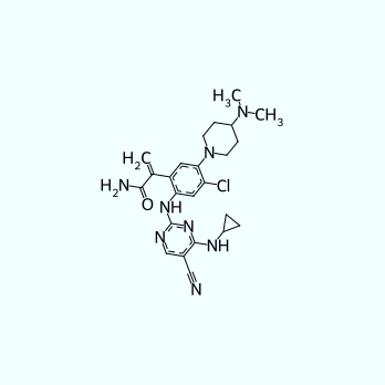 C=C(C(N)=O)c1cc(N2CCC(N(C)C)CC2)c(Cl)cc1Nc1ncc(C#N)c(NC2CC2)n1